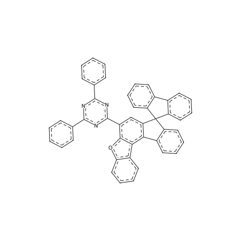 c1ccc(-c2nc(-c3ccccc3)nc(-c3cc4c(c5c3oc3ccccc35)-c3ccccc3C43c4ccccc4-c4ccccc43)n2)cc1